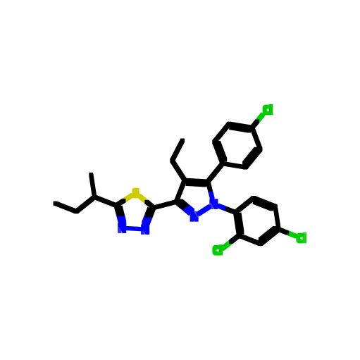 CCc1c(-c2nnc(C(C)CC)s2)nn(-c2ccc(Cl)cc2Cl)c1-c1ccc(Cl)cc1